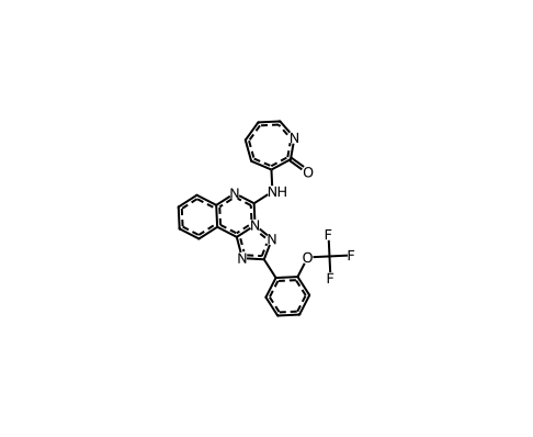 O=c1nccccc1Nc1nc2ccccc2c2nc(-c3ccccc3OC(F)(F)F)nn12